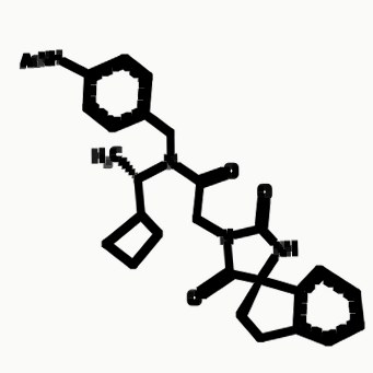 CC(=O)Nc1ccc(CN(C(=O)CN2C(=O)N[C@@]3(CCc4ccccc43)C2=O)[C@@H](C)C2CCC2)cc1